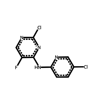 Fc1cnc(Cl)nc1Nc1ccc(Cl)cn1